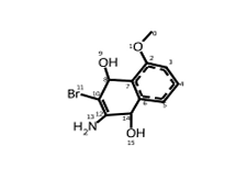 COc1cccc2c1C(O)C(Br)=C(N)C2O